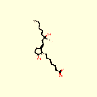 CCCCCC(C)(O)CC=C1CC[C@H](O)[C@@H]1CCCCCCC(=O)O